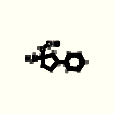 NC1(OC=O)CCC(c2ccccc2)C1